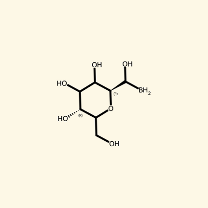 BC(O)[C@H]1OC(CO)[C@H](O)C(O)C1O